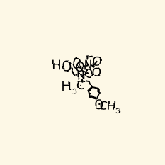 COc1ccc(C[C@H](C)N(CC(=O)O)S(=O)(=O)N2CCOC2=O)cc1